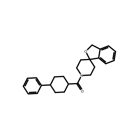 O=C(C1CCC(c2ccccc2)CC1)N1CCC2(CC1)OCc1ccccc12